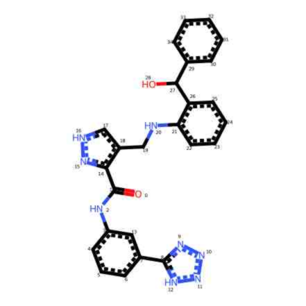 O=C(Nc1cccc(-c2nnn[nH]2)c1)c1n[nH]cc1CNc1ccccc1C(O)c1ccccc1